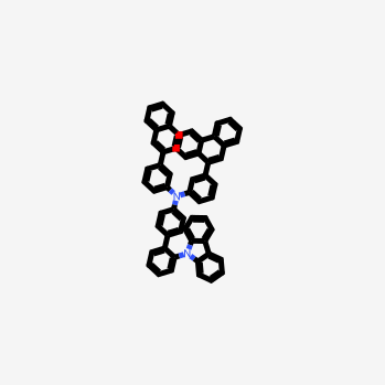 c1cc(-c2ccc3ccccc3c2)cc(N(c2ccc(-c3ccccc3-n3c4ccccc4c4ccccc43)cc2)c2cccc(-c3cc4ccccc4c4ccccc34)c2)c1